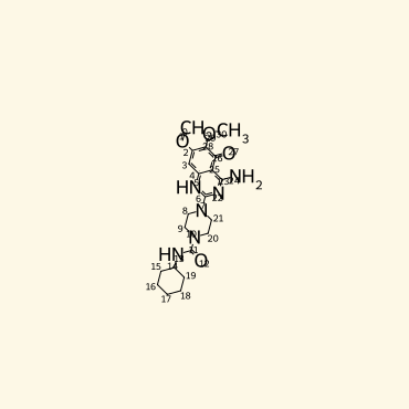 COc1cc2[nH]c(N3CCN(C(=O)NC4CCCCC4)CC3)nc(N)c-2c(=O)c1OC